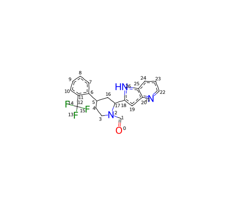 O=CN1CCC(c2ccccc2C(F)(F)F)CC1c1cc2ncccc2[nH]1